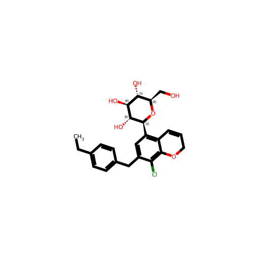 CCc1ccc(Cc2cc([C@@H]3O[C@H](CO)[C@@H](O)[C@H](O)[C@H]3O)c3c(c2Cl)OCC=C3)cc1